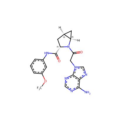 Nc1ncnc2c1ncn2CC(=O)N1[C@@H]2C[C@@H]2C[C@H]1C(=O)Nc1cccc(OC(F)(F)F)c1